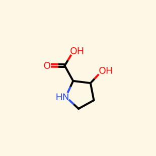 O=C(O)C1NCCC1O